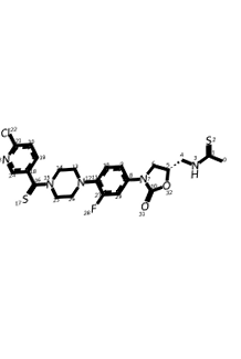 CC(=S)NC[C@H]1CN(c2ccc(N3CCN(C(=S)c4ccc(Cl)nc4)CC3)c(F)c2)C(=O)O1